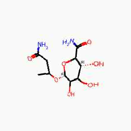 CC(CC(N)=O)O[C@@H]1OC(C(N)=O)[C@H](O)C(O)C1O